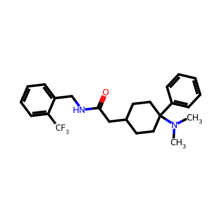 CN(C)C1(c2ccccc2)CCC(CC(=O)NCc2ccccc2C(F)(F)F)CC1